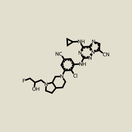 N#Cc1cc(Nc2nc(NC3CC3)c3ncc(C#N)n3n2)c(Cl)c(N2CCC3CCN(CC(O)CF)C3C2)c1